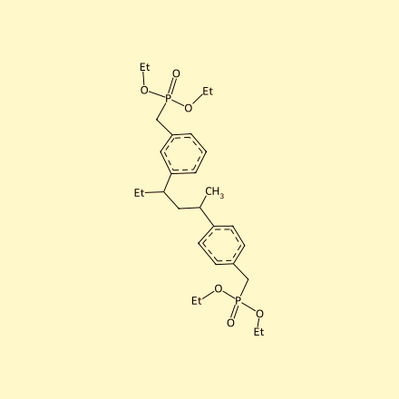 CCOP(=O)(Cc1ccc(C(C)CC(CC)c2cccc(CP(=O)(OCC)OCC)c2)cc1)OCC